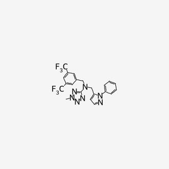 Cn1nnc(N(Cc2cc(C(F)(F)F)cc(C(F)(F)F)c2)Cc2ccnn2-c2ccccc2)n1